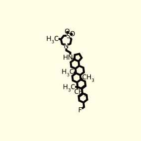 CC1CN(CCN[C@]23CCCC2C2CCC4C(C)(CCC5C(C)(C)C(C6=CCC(CF)CC6)=CCC54C)C2CC3)CCS(=O)(=O)C1